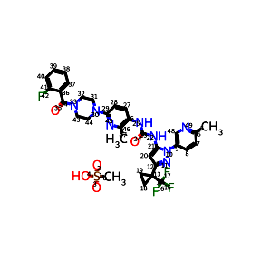 CS(=O)(=O)O.Cc1ccc(-n2nc(C3(C(F)(F)F)CC3)cc2NC(=O)Nc2ccc(N3CCN(C(=O)c4ccccc4F)CC3)nc2C)cn1